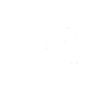 Cn1cc(-c2cnc3[nH]cc(-c4ccc(OC5CCOCC5)c(Cl)c4)c3c2)cn1